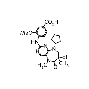 CCC1(C)CN(C2CCCC2)c2nc(Nc3ccc(C(=O)O)cc3OC)ncc2N(C)C1=O